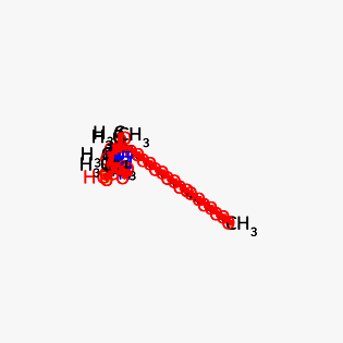 COCCOCCOCCOCCOCCOCCCOCOCCOCCOCCOCCOCCOCCOCCOCCOCCOCC#Cc1cc(NC(=O)[C@H](C)NC(=O)[C@@H](NC(=O)CN2C(=O)[C@@H](N3C(=O)C=CC3=O)C[C@H]2COCCS(=O)(=O)O)C(C)C)ccc1COC(=O)C(C)(C)C